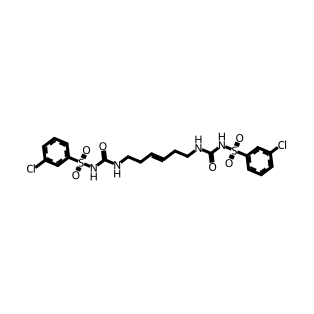 O=C(NCCC=CCCNC(=O)NS(=O)(=O)c1cccc(Cl)c1)NS(=O)(=O)c1cccc(Cl)c1